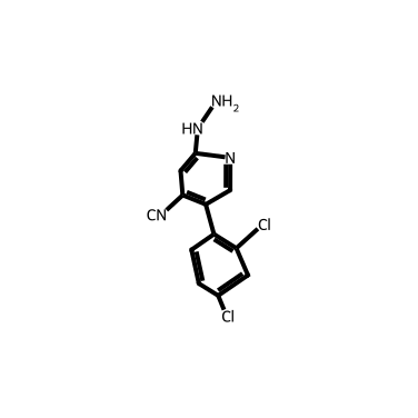 [C-]#[N+]c1cc(NN)ncc1-c1ccc(Cl)cc1Cl